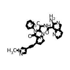 C[C@H](NC(=O)c1c(N)ncc2cccnc12)c1nn2ccc(C#Cc3cnn(C)c3)c2c(=O)n1-c1ccccc1